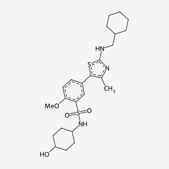 COc1ccc(-c2sc(NCC3CCCCC3)nc2C)cc1S(=O)(=O)NC1CCC(O)CC1